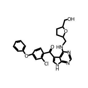 O=C(c1ccc(Oc2ccccc2)cc1Cl)c1c[nH]c2ncnc(NCC3CCC(CO)O3)c12